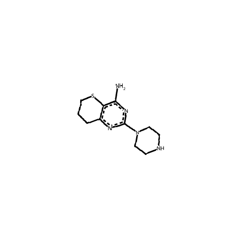 Nc1nc(N2CCNCC2)nc2c1SCCC2